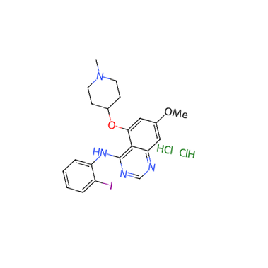 COc1cc(OC2CCN(C)CC2)c2c(Nc3ccccc3I)ncnc2c1.Cl.Cl